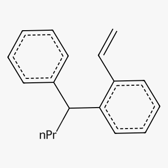 C=Cc1ccccc1C(CCC)c1ccccc1